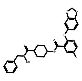 O=C(NC1CCC(C(=O)N(O)Cc2ccccc2)CC1)c1cc(F)cnc1Oc1ccc2c(c1)OCO2